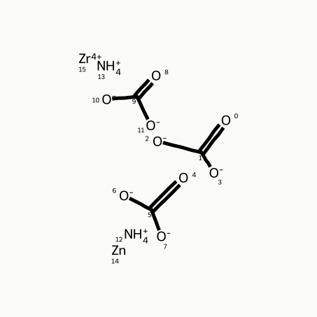 O=C([O-])[O-].O=C([O-])[O-].O=C([O-])[O-].[NH4+].[NH4+].[Zn].[Zr+4]